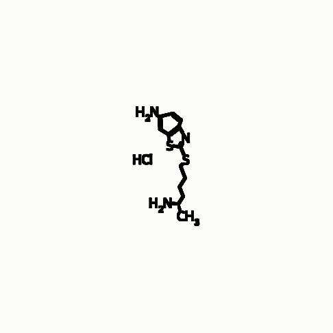 C[C@@H](N)CCCCSc1nc2ccc(N)cc2s1.Cl